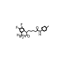 Cc1ccc(NC(=O)CCCCC(C(N)=O)c2cc(F)c(F)cc2N)cc1